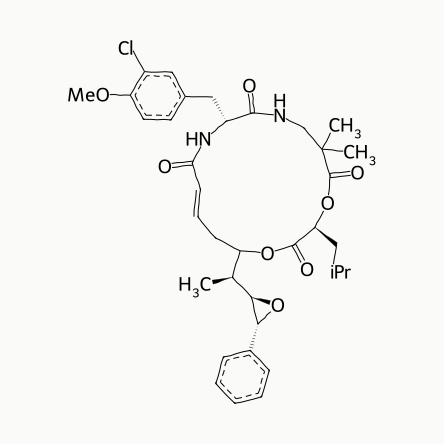 COc1ccc(C[C@H]2NC(=O)/C=C/CC([C@H](C)[C@H]3O[C@@H]3c3ccccc3)OC(=O)[C@H](CC(C)C)OC(=O)C(C)(C)CNC2=O)cc1Cl